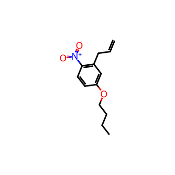 C=CCc1cc(OCCCC)ccc1[N+](=O)[O-]